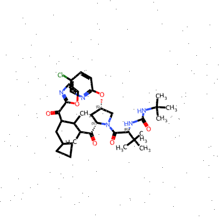 CC(C(=O)[C@@H]1C[C@H](Oc2ccc(Cl)cn2)CN1C(=O)[C@H](NC(=O)NC(C)(C)C)C(C)(C)C)C(C)C(CC1CCC1)C(=O)c1ncco1